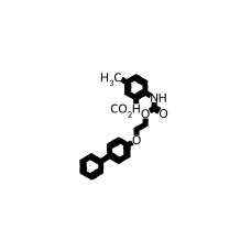 Cc1ccc(NC(=O)OCCOc2ccc(-c3ccccc3)cc2)c(C(=O)O)c1